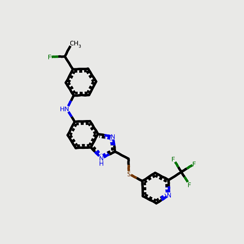 CC(F)c1cccc(Nc2ccc3[nH]c(CSc4ccnc(C(F)(F)F)c4)nc3c2)c1